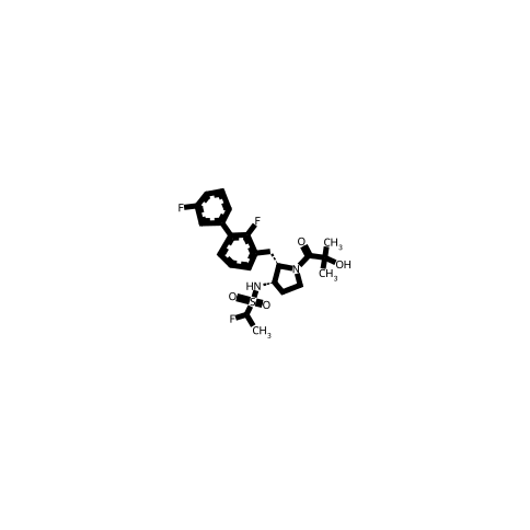 CC(F)S(=O)(=O)N[C@H]1CCN(C(=O)C(C)(C)O)[C@H]1Cc1cccc(-c2cccc(F)c2)c1F